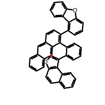 c1ccc(-c2coc3ccc4ccccc4c23)c(-c2c(-c3cccc4oc5ccccc5c34)ccc3cc4ccccc4cc23)c1